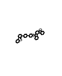 c1ccc2c(c1)oc1ccc3c(c4ccccc4n3-c3ccc(-c4ccc(-c5cccc6c5sc5ccccc56)cc4)cc3)c12